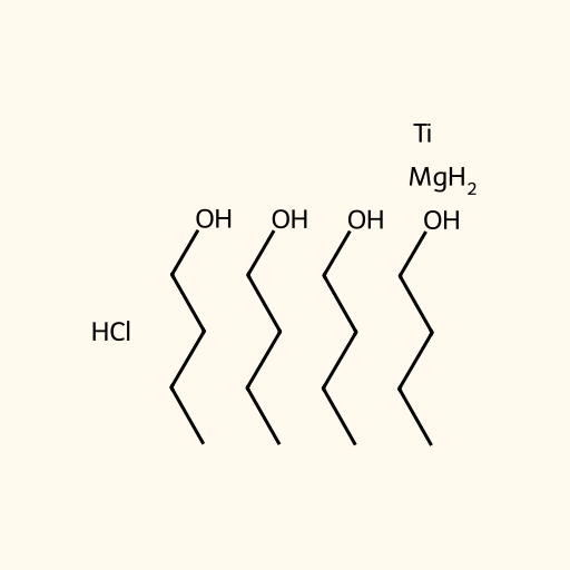 CCCCO.CCCCO.CCCCO.CCCCO.Cl.[MgH2].[Ti]